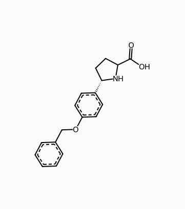 O=C(O)C1CC[C@@H](c2ccc(OCc3ccccc3)cc2)N1